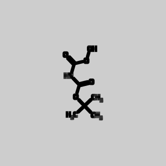 CC(C)(C)OC(=O)NC(=O)OO